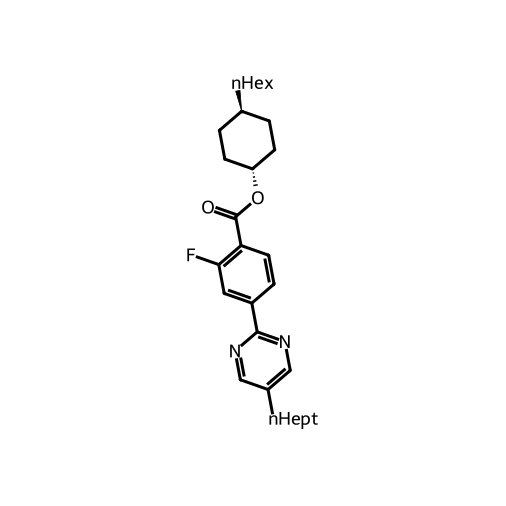 CCCCCCCc1cnc(-c2ccc(C(=O)O[C@H]3CC[C@H](CCCCCC)CC3)c(F)c2)nc1